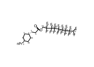 CCC[C@H]1CC[C@H](CCC(=O)OCC(F)(F)C(F)(F)C(F)(F)C(F)(F)C(F)(F)C(F)(F)C(F)(F)C(F)F)CC1